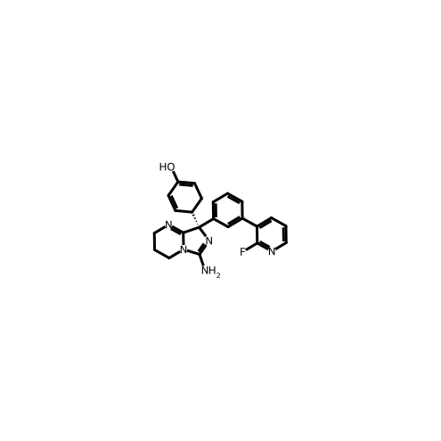 NC1=N[C@@](c2cccc(-c3cccnc3F)c2)(C2C=CC(O)=CC2)C2=NCCCN12